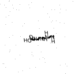 CNCCNCCNCCNCC(=O)O